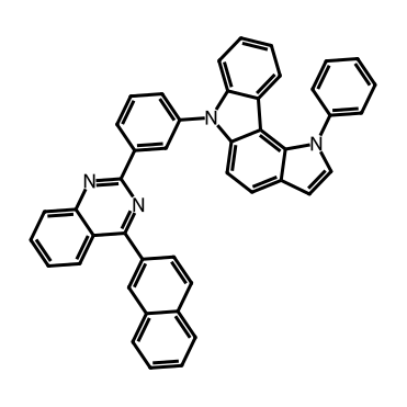 c1ccc(-n2ccc3ccc4c(c5ccccc5n4-c4cccc(-c5nc(-c6ccc7ccccc7c6)c6ccccc6n5)c4)c32)cc1